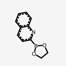 c1ccc2nc(B3OCCO3)ccc2c1